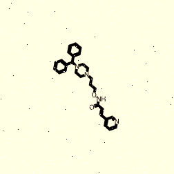 O=C(C=Cc1cccnc1)NOCCCN1CCN(C(c2ccccc2)c2ccccc2)CC1